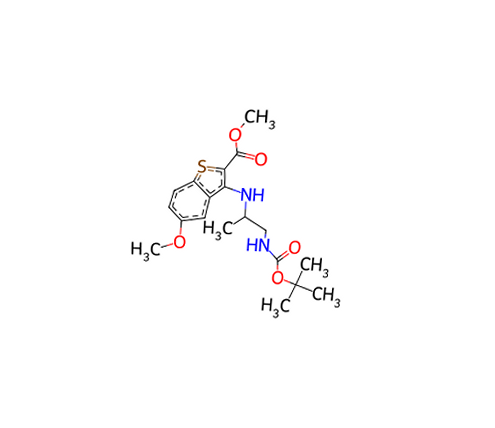 COC(=O)c1sc2ccc(OC)cc2c1NC(C)CNC(=O)OC(C)(C)C